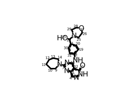 O=c1[nH]ncc2nc(N3CCCCCC3)nc(Nc3ccc(C(O)N4CCOCC4)cc3)c12